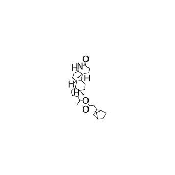 CC(OC(=O)CC1CC2CCC1C2)[C@H]1CC[C@H]2[C@@H]3CC[C@H]4N(C)C(=O)CC[C@]4(C)[C@H]3CC[C@]12C